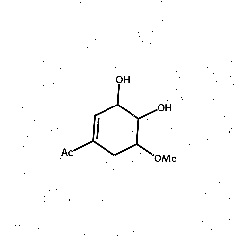 COC1CC(C(C)=O)=CC(O)C1O